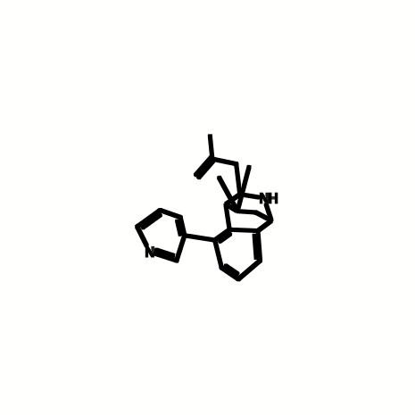 C=C(C)CC1NC2CC(C)(C)C1c1c(-c3cccnc3)cccc12